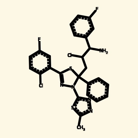 Cc1nnc(N2N=C(c3cc(F)ccc3Cl)SC2(CC(Cl)C(N)c2cccc(F)c2)c2ccccc2)s1